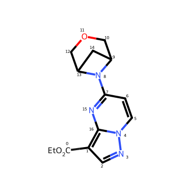 CCOC(=O)c1cnn2ccc(N3C4COCC3C4)nc12